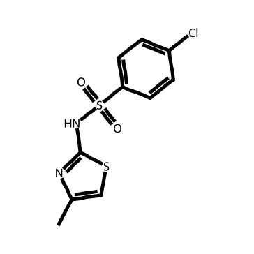 Cc1csc(NS(=O)(=O)c2ccc(Cl)cc2)n1